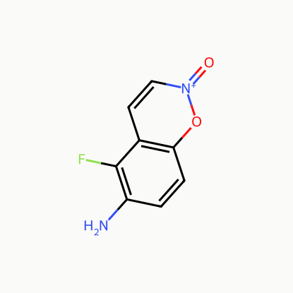 Nc1ccc2o[n+](=O)ccc2c1F